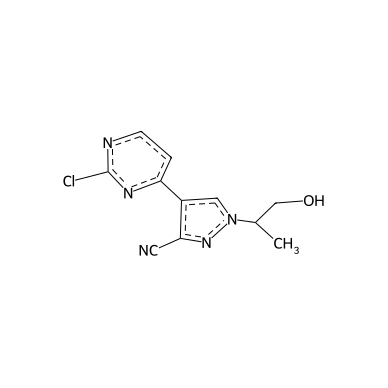 CC(CO)n1cc(-c2ccnc(Cl)n2)c(C#N)n1